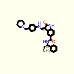 CC[C@@H](NC(=O)c1ccc2c(c1)/C(=C/Nc1ccc(CN3CCCCC3)cc1)C(=O)N2)c1ccccc1